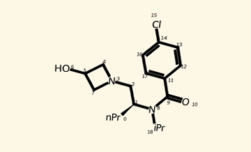 CCC[C@@H](CN1CC(O)C1)N(C(=O)c1ccc(Cl)cc1)C(C)C